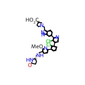 COc1nc(-c2cccc(-c3ccnc(-c4ccc5c(CN6CC[C@@H](C(=O)O)C6)nn(C)c5c4)c3Cl)c2Cl)ccc1CNC[C@@H]1CCC(=O)N1